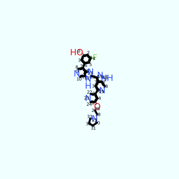 Oc1cc(F)cc(-c2cncc3[nH]c(-c4n[nH]c5cnc(-c6cncc(OCCN7CCCC7)c6)cc45)nc23)c1